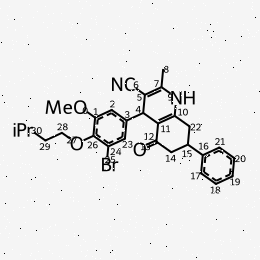 COc1cc(C2C(C#N)=C(C)NC3=C2C(=O)CC(c2ccccc2)C3)cc(Br)c1OCCC(C)C